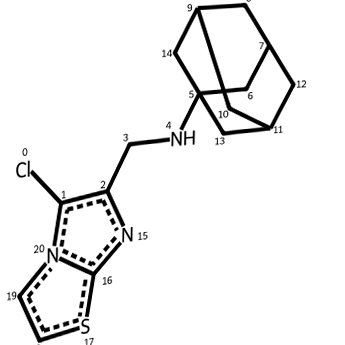 Clc1c(CNC23CC4CC(CC(C4)C2)C3)nc2sccn12